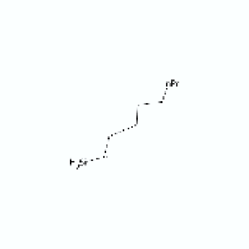 CCCCCCC[CH][SiH3]